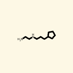 NCCNCCCC1CCCC1